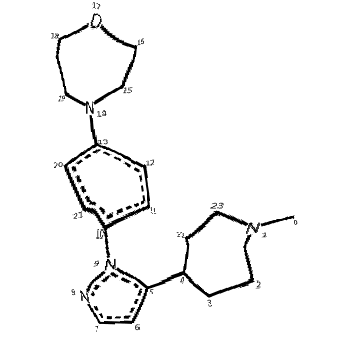 CN1CCC(c2ccnn2-c2ccc(N3CCOCC3)cc2)CC1